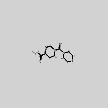 CC(=O)C1CCN(C(=O)N2CCOCC2)CC1